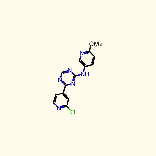 COc1ccc(Nc2ncnc(-c3ccnc(Cl)c3)n2)cn1